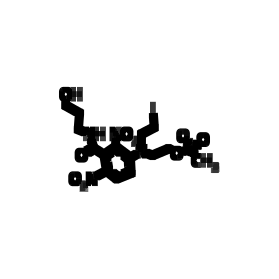 CS(=O)(=O)OCCN(CCI)c1ccc([N+](=O)[O-])c(C(=O)NCCCO)c1[N+](=O)[O-]